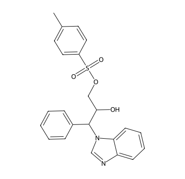 Cc1ccc(S(=O)(=O)OCC(O)C(c2ccccc2)n2cnc3ccccc32)cc1